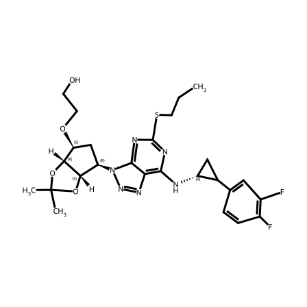 CCCSc1nc(N[C@@H]2CC2c2ccc(F)c(F)c2)c2nnn([C@@H]3C[C@H](OCCO)[C@H]4OC(C)(C)O[C@H]43)c2n1